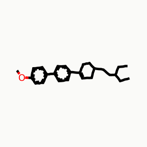 CCC(CC)CCC1CC=C(c2ccc(-c3ccc(OC)cc3)cc2)CC1